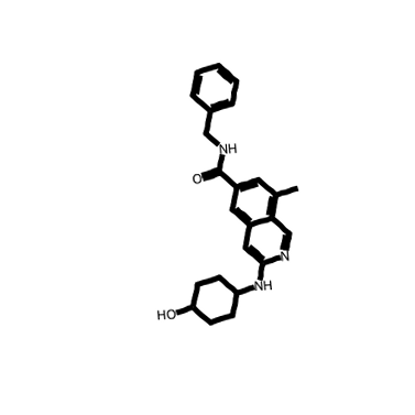 Cc1cc(C(=O)NCc2ccccc2)cc2cc(NC3CCC(O)CC3)ncc12